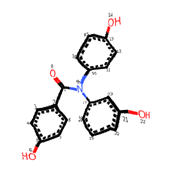 O=C(c1ccc(O)cc1)N(c1ccc(O)cc1)c1cccc(O)c1